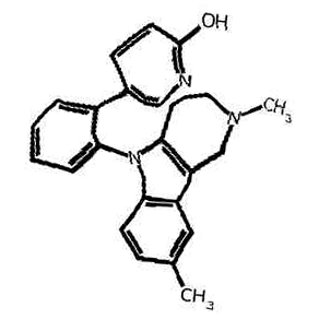 Cc1ccc2c(c1)c1c(n2-c2ccccc2-c2ccc(O)nc2)CCN(C)C1